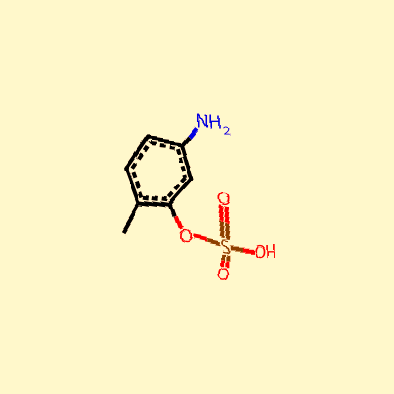 Cc1ccc(N)cc1OS(=O)(=O)O